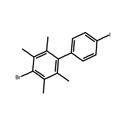 Cc1c(C)c(-c2ccc(I)cc2)c(C)c(C)c1Br